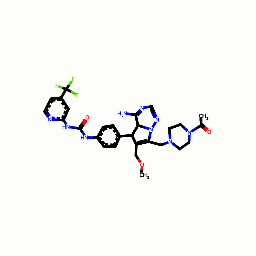 COCC1=C(CN2CCN(C(C)=O)CC2)N2N=CN=C(N)C2C1c1ccc(NC(=O)Nc2cc(C(F)(F)F)ccn2)cc1